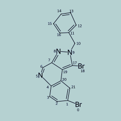 Brc1ccc2ncc3nn(Cc4ccccc4)c(Br)c3c2c1